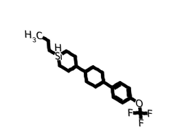 CCC[SiH]1CCC(C2CCC(c3ccc(OC(F)(F)F)cc3)CC2)CC1